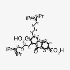 CC(C)N(CCCCc1cc2c(c(CCCCN(C(C)C)C(C)C)c1C(=O)O)C(=O)c1cc(C(=O)O)ccc1-2)C(C)C